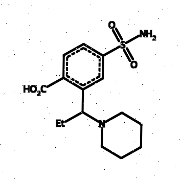 CCC(c1cc(S(N)(=O)=O)ccc1C(=O)O)N1CCCCC1